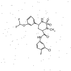 CN1C(C(=O)Nc2ccc(F)c(Cl)c2)C[C@@H](c2cccc(OC(F)F)c2)NS1(=O)=O